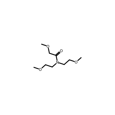 COCCN(CCOC)C(=O)COC